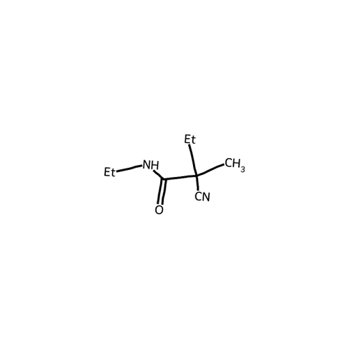 CCNC(=O)C(C)(C#N)CC